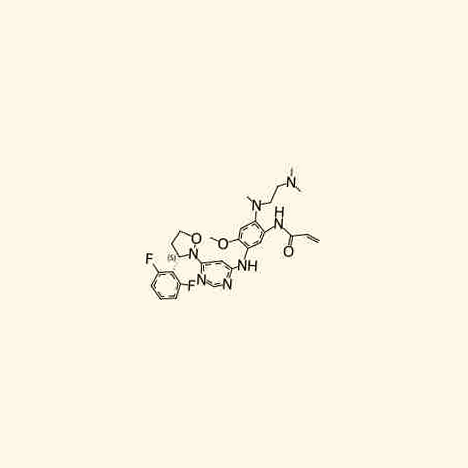 C=CC(=O)Nc1cc(Nc2cc(N3OCC[C@H]3c3c(F)cccc3F)ncn2)c(OC)cc1N(C)CCN(C)C